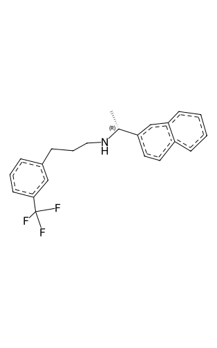 C[C@@H](NCCCc1cccc(C(F)(F)F)c1)c1ccc2ccccc2c1